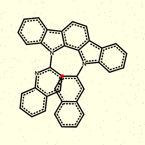 c1ccc2cc(-n3c4ccccc4c4ccc5c6ccccc6n(-c6ccc7ccccc7n6)c5c43)ccc2c1